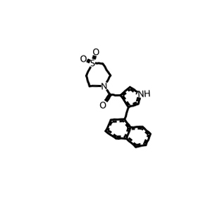 O=C(c1c[nH]cc1-c1cccc2ccccc12)N1CCS(=O)(=O)CC1